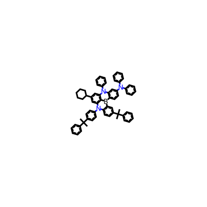 CC(C)(c1ccccc1)c1ccc(N2c3ccc(C(C)(C)c4ccccc4)cc3B3c4ccc(N(c5ccccc5)c5ccccc5)cc4N(c4ccccc4)c4cc(C5CCCCC5)cc2c43)cc1